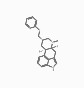 CN1C[C@H](CSc2ccccn2)C[C@@H]2c3cccc4[nH]cc(c34)C[C@H]21